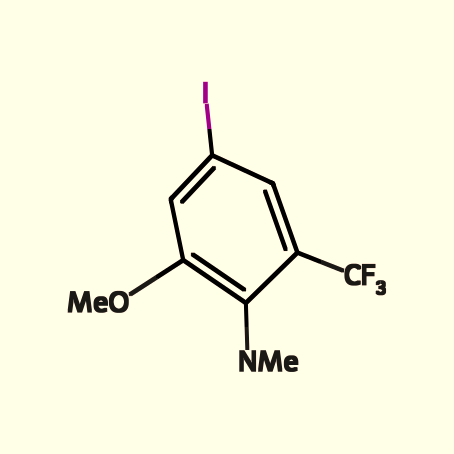 CNc1c(OC)cc(I)cc1C(F)(F)F